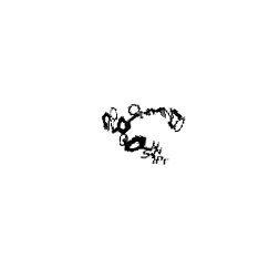 CC(C)c1nnc(-c2ccc(Oc3cc(C(=O)NCCCN4CCOCC4)ccc3CN3CCCC3=O)cc2)s1